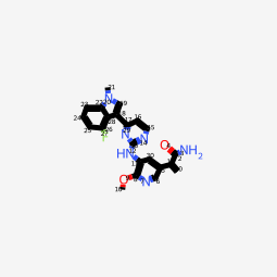 C=C(C(N)=O)c1cnc(OC)c(Nc2nccc(-c3cn(C)c4cccc(F)c34)n2)c1